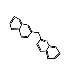 c1ccc2cc(Oc3ccc4ccccc4n3)ccc2c1